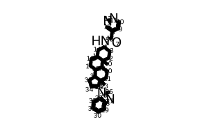 CC12CCC(NC(=O)c3ccnnc3)CC1=CCC1C2CCC2(C)C(n3cnc4ccccc43)=CCC12